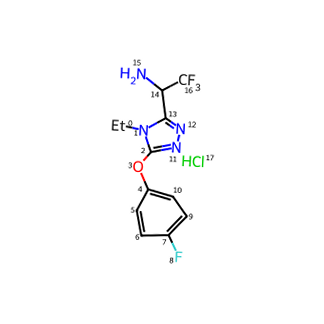 CCn1c(Oc2ccc(F)cc2)nnc1C(N)C(F)(F)F.Cl